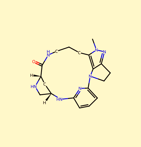 Cn1nc2c3c1CCCNC(=O)[C@@H]1C[C@@H](CN1)Nc1cccc(n1)N3CC2